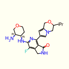 CC(C)C1Cn2cc(-c3nc(N[C@@H]4CCOC[C@@H]4N)c(F)c4c3C(=O)NC4)cc2CO1